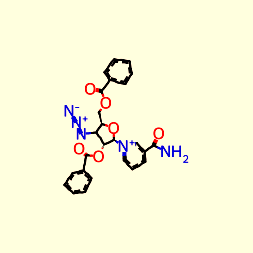 [N-]=[N+]=NC1[C@@H](OC(=O)c2ccccc2)[C@H]([n+]2cccc(C(N)=O)c2)O[C@@H]1COC(=O)c1ccccc1